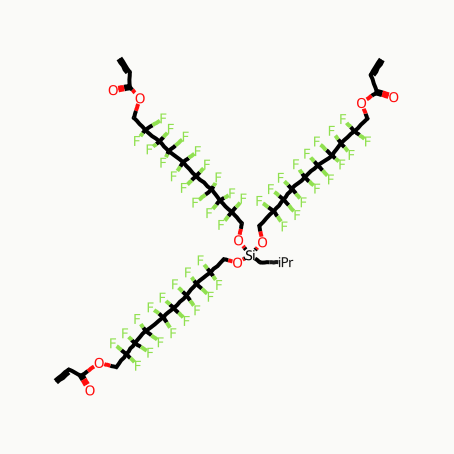 C=CC(=O)OCC(F)(F)C(F)(F)C(F)(F)C(F)(F)C(F)(F)C(F)(F)C(F)(F)C(F)(F)CO[Si](CC(C)C)(OCC(F)(F)C(F)(F)C(F)(F)C(F)(F)C(F)(F)C(F)(F)C(F)(F)C(F)(F)COC(=O)C=C)OCC(F)(F)C(F)(F)C(F)(F)C(F)(F)C(F)(F)C(F)(F)C(F)(F)C(F)(F)COC(=O)C=C